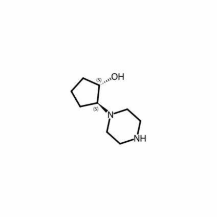 O[C@H]1CCC[C@@H]1N1CCNCC1